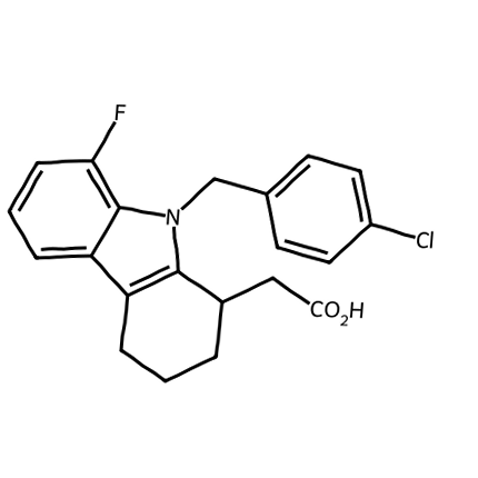 O=C(O)CC1CCCc2c1n(Cc1ccc(Cl)cc1)c1c(F)cccc21